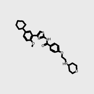 COc1ccc(C2CCCCC2)cc1-c1csc(NC(=O)c2ccc(OCCNC3CCOCC3)cc2)n1